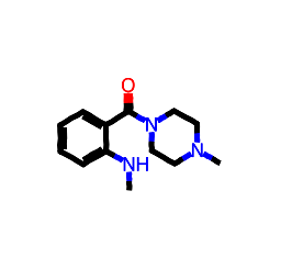 CNc1ccccc1C(=O)N1CCN(C)CC1